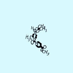 COC(=O)C1CCN(C(=O)N2CCN(C(=O)OC(C)(C)C)C[C@H]2C)CC1